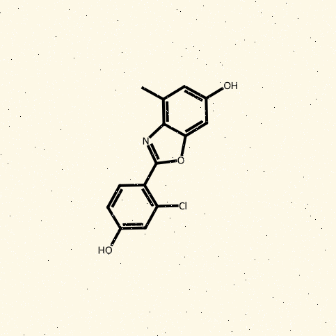 Cc1cc(O)cc2oc(-c3ccc(O)cc3Cl)nc12